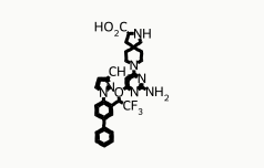 Cc1ccn(-c2ccc(-c3ccccc3)cc2C(Oc2cc(N3CCC4(CC3)CN[C@H](C(=O)O)C4)nc(N)n2)C(F)(F)F)n1